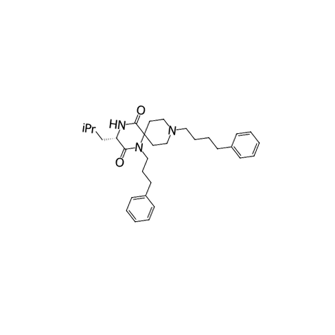 CC(C)C[C@@H]1NC(=O)C2(CCN(CCCCc3ccccc3)CC2)N(CCCc2ccccc2)C1=O